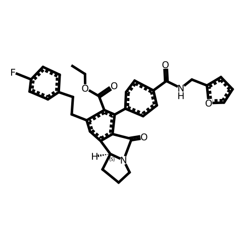 CCOC(=O)c1c(CCc2ccc(F)cc2)cc2c(c1-c1ccc(C(=O)NCc3ccco3)cc1)C(=O)N1CCC[C@@H]21